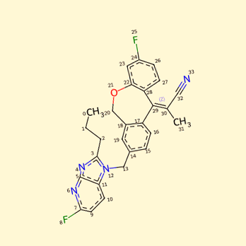 CCCc1nc2nc(F)ccc2n1Cc1ccc2c(c1)COc1cc(F)ccc1/C2=C(/C)C#N